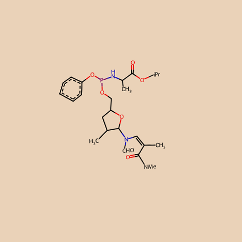 CNC(=O)/C(C)=C\N(C=O)C1OC(COP(NC(C)C(=O)OC(C)C)Oc2ccccc2)CC1C